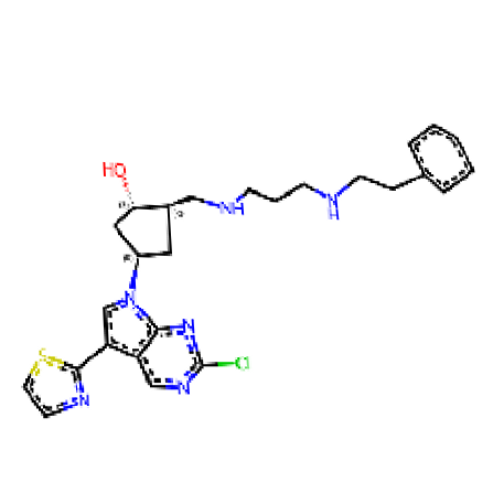 O[C@H]1C[C@H](n2cc(-c3nccs3)c3cnc(Cl)nc32)C[C@@H]1CNCCCNCCc1ccccc1